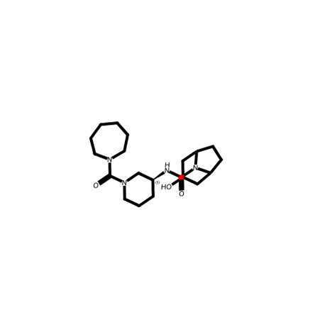 O=C(N1CCCCCC1)N1CCC[C@H](NC(=O)N2C3CCC2CC(O)C3)C1